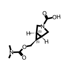 CN(C)C(=O)OC[C@H]1[C@H]2CN(C(=O)O)C[C@@H]12